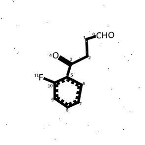 O=CCCC(=O)c1ccccc1F